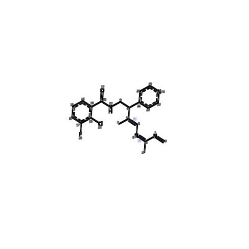 C=N/C(C)=N\C=C(/C)C(CNC(=O)c1cccc(F)c1Cl)c1ccncc1